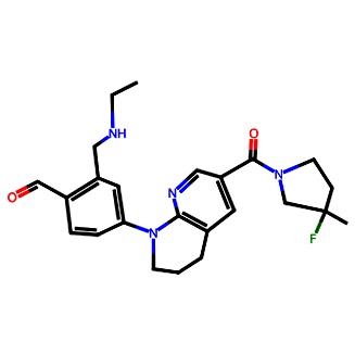 CCNCc1cc(N2CCCc3cc(C(=O)N4CCC(C)(F)C4)cnc32)ccc1C=O